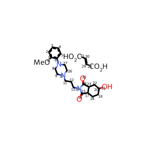 COc1ccccc1N1CCN(CCCN2C(=O)C3CCC(O)CC3C2=O)CC1.O=C(O)C=CC(=O)O